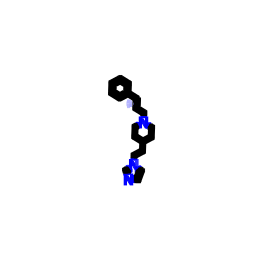 C(=C\c1ccccc1)/CN1CCC(CCn2ccnc2)CC1